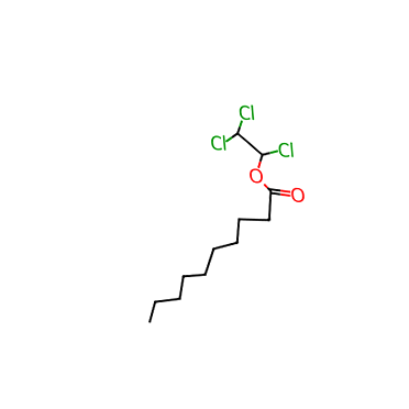 CCCCCCCCCC(=O)OC(Cl)C(Cl)Cl